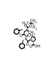 CN(C(=O)OC(C)(C)C)[C@@H](Cc1ccccc1)C(=O)N(C)[C@@H](Cc1ccccc1)C(=O)N1CCC[C@H]1C(=O)O